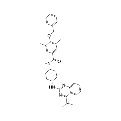 Cc1cc(C(=O)N[C@H]2CC[C@@H](Nc3nc(N(C)C)c4ccccc4n3)CC2)cc(C)c1OCc1ccccc1